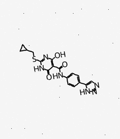 O=C(Nc1ccc(-c2cnn[nH]2)cc1)c1c(O)nc(SCC2CC2)[nH]c1=O